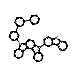 c1ccc(-c2cccc(-c3cccc(-n4c5ccccc5c5c6c7ccccc7n(-c7ccc8oc9ccccc9c8c7)c6ccc54)c3)c2)cc1